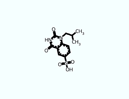 CC(C)Cn1c(=O)[nH]c(=O)c2cc(S(=O)(=O)O)ccc21